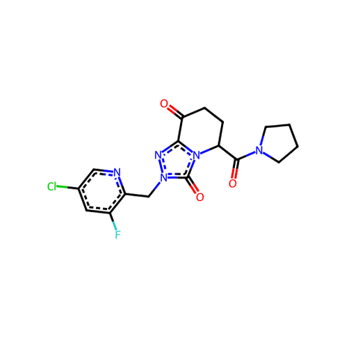 O=C1CCC(C(=O)N2CCCC2)n2c1nn(Cc1ncc(Cl)cc1F)c2=O